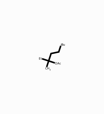 CCC(C)CCC(C)(CC)OC(C)=O